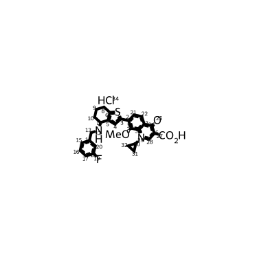 COc1c(-c2cc3c(s2)CCCC3NCc2cccc(F)c2)ccc2c(=O)c(C(=O)O)cn(C3CC3)c12.Cl